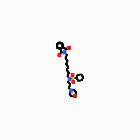 O=C1c2ccccc2C(=O)N1CCCCCCCCN(CCCN1CCOCC1)S(=O)(=O)C1CCCCC1